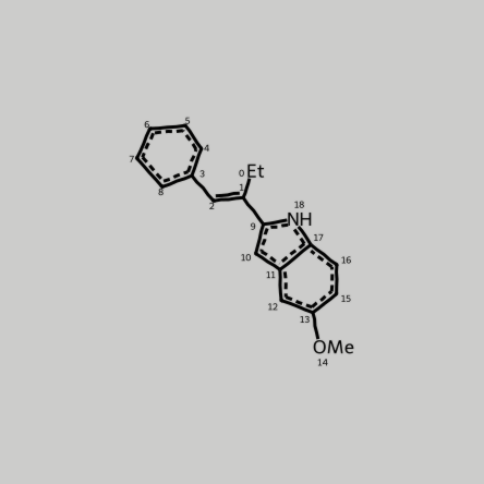 CCC(=Cc1ccccc1)c1cc2cc(OC)ccc2[nH]1